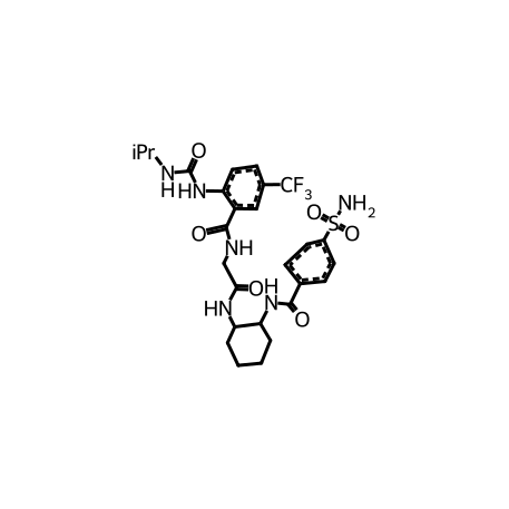 CC(C)NC(=O)Nc1ccc(C(F)(F)F)cc1C(=O)NCC(=O)NC1CCCCC1NC(=O)c1ccc(S(N)(=O)=O)cc1